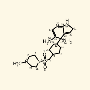 CN1CCN(S(=O)(=O)CC2CCC(C3(N)C(N)=CN=C4NCC=C43)CC2)CC1